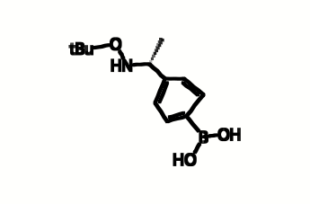 C[C@@H](NOC(C)(C)C)c1ccc(B(O)O)cc1